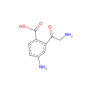 NCC(=O)c1cc(N)ccc1C(=O)O